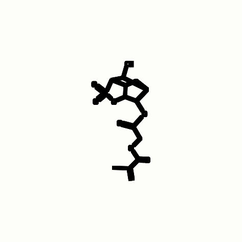 C=C(C)C(=O)OCC(=O)OC1C2CC3C1OS(=O)(=O)C3C2C#N